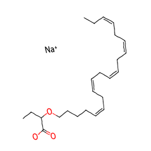 CC/C=C\C/C=C\C/C=C\C/C=C\C/C=C\CCCCOC(CC)C(=O)[O-].[Na+]